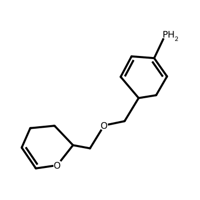 PC1=CCC(COCC2CCC=CO2)C=C1